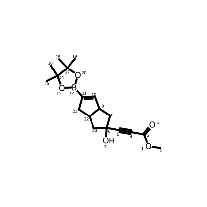 COC(=O)C#CC1(O)CC2C=C(B3OC(C)(C)C(C)(C)O3)CC2C1